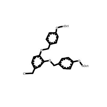 CCCCCCCCOc1ccc(COc2ccc(CCl)cc2OCc2ccc(OCCCCCCCC)cc2)cc1